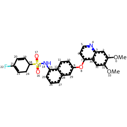 COc1cc2nccc(Oc3ccc4c(NS(=O)(=O)C5C=CC(F)=CC5)cccc4c3)c2cc1OC